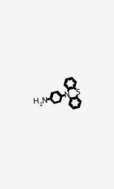 NC1=CC=C(N2c3ccccc3Sc3ccccc32)CC1